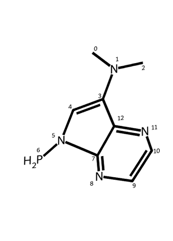 CN(C)c1cn(P)c2nccnc12